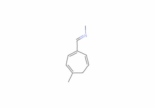 C/N=C/C1=CC=C(C)CC=C1